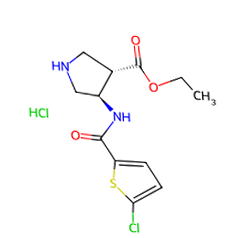 CCOC(=O)[C@H]1CNC[C@@H]1NC(=O)c1ccc(Cl)s1.Cl